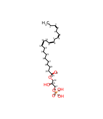 CC/C=C\C/C=C\C/C=C\C/C=C\CCCCCCCCC(=O)OCC(O)COP(=O)(O)O